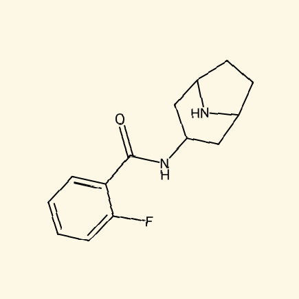 O=C(NC1CC2CCC(C1)N2)c1ccccc1F